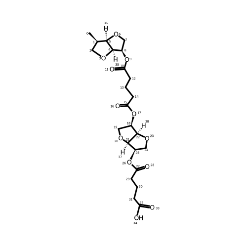 C[C@@H]1CO[C@H]2[C@@H]1OC[C@H]2OC(=O)CCCC(=O)O[C@@H]1CO[C@H]2[C@@H]1OC[C@H]2OC(=O)CCCC(=O)O